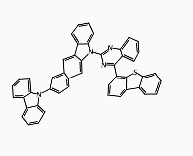 c1ccc2c(-c3cccc4c3sc3ccccc34)nc(-n3c4ccccc4c4cc5cc(-n6c7ccccc7c7ccccc76)ccc5cc43)nc2c1